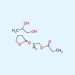 CC(O)CO.CCOC(=O)CC.O=C1CCCO1